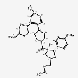 COc1ccc([C@@H]2CN(CCCC(C)=O)C[C@@]2(F)C(=O)N2CCC(c3ccc(C(F)(F)F)cc3N3CCC(C(=O)O)CC3)CC2)cc1